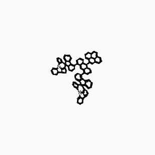 c1ccc2c(c1)-c1c(-c3cccc4c(-c5cc6cccc7ccc8cccc5c8c76)c5cccc(-c6cccc7c6-c6ccccc6C76c7ccccc7-n7c8ccccc8c8cccc6c87)c5cc34)cccc1C21c2ccccc2-n2c3ccccc3c3cccc1c32